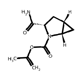 C=C(C)OC(=O)N1[C@H](C(N)=O)C[C@@H]2C[C@@H]21